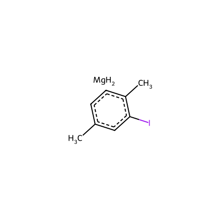 Cc1ccc(C)c(I)c1.[MgH2]